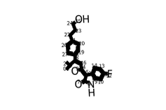 CC1(C)OC(=C2C(=O)Nc3cc(F)ccc32)C=C1c1ccc(CCCO)cc1